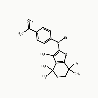 C=C(C)c1ccc(N(CC)c2sc3c(c2C)C(C)(C)CCC3(C)CCC)cc1